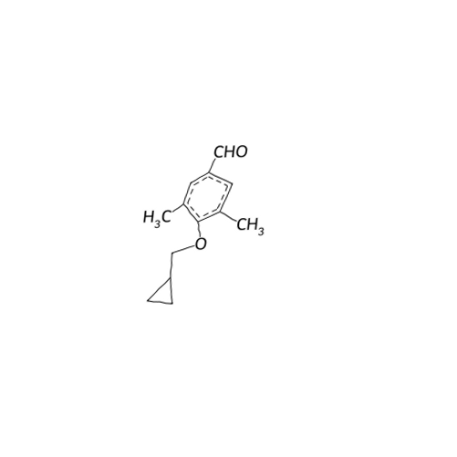 Cc1cc(C=O)cc(C)c1OCC1CC1